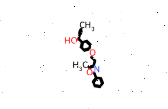 CC#CC(O)c1ccc(OCCc2nc(-c3ccccc3)oc2C)cc1